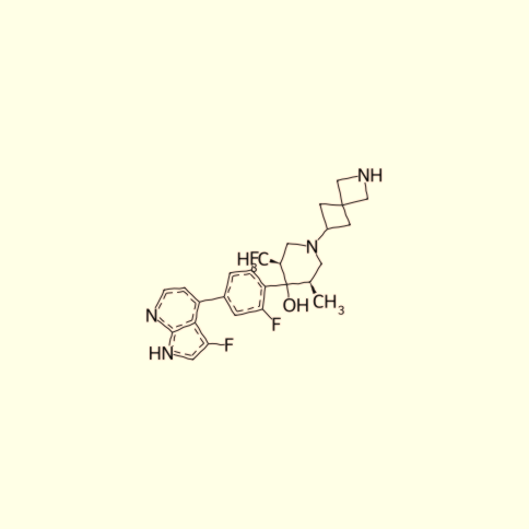 C[C@@H]1CN(C2CC3(CNC3)C2)C[C@H](C)C1(O)c1c(F)cc(-c2ccnc3[nH]cc(F)c23)cc1F